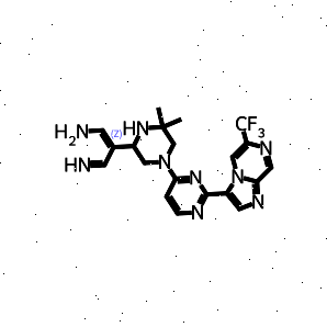 CC1(C)CN(c2ccnc(-c3cnc4cnc(C(F)(F)F)cn34)n2)CC(/C(C=N)=C/N)N1